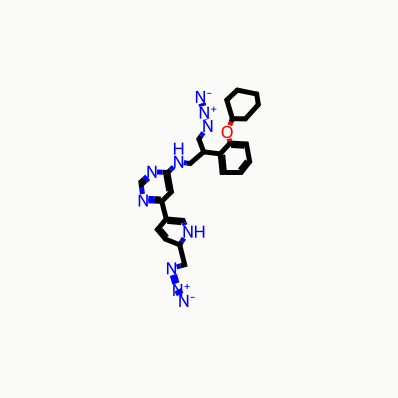 [N-]=[N+]=NCC1C=CC(c2cc(NCC(CN=[N+]=[N-])c3ccccc3OC3CCCCC3)ncn2)=CN1